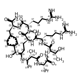 CC(C)C[C@H](C)C(=O)N[C@H](C(=O)N[C@H](C(=O)N[C@@H](CCCNC(=N)N)C(=O)N[C@@H](CCC(N)=O)C(=O)N(C)[C@@H](CCCNC(=N)N)C(=O)N[C@@H](Cc1ccc(CO)cc1)C(N)=O)[C@@H](C)O)C(C)C